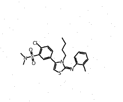 CCCCn1c(-c2ccc(Cl)c(S(=O)(=O)N(C)C)c2)cs/c1=N/c1ccccc1C